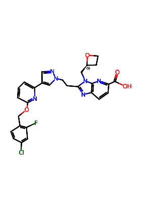 O=C(O)c1ccc2nc(CCn3cc(-c4cccc(OCc5ccc(Cl)cc5F)n4)cn3)n(C[C@@H]3CCO3)c2n1